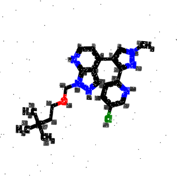 Cn1cc(-c2ccnc3c2cnn3COCC[Si](C)(C)C)c(-c2ccc(Cl)cn2)n1